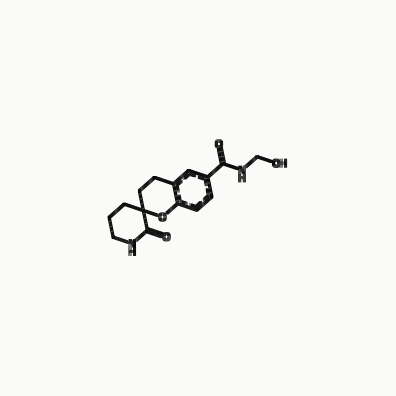 O=C(NCO)c1ccc2c(c1)CCC1(CCCNC1=O)O2